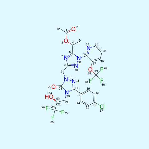 CC(=O)OC(C)c1nc(Cn2nc(-c3ccc(Cl)cc3)n(C[C@H](O)C(F)(F)F)c2=O)nn1-c1ncccc1OC(F)(F)F